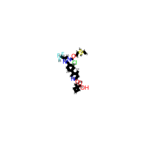 CCS(C)(C)CCOCn1cc(C(F)(F)F)nc1-c1ccc(-c2cnc(OCC3(C(=O)O)CCC3)cc2C)cc1Cl